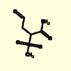 CS(=O)(=O)C(CC=O)C(N)=O